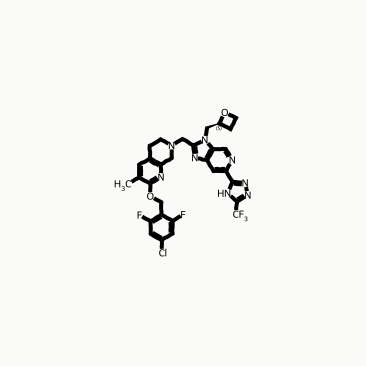 Cc1cc2c(nc1OCc1c(F)cc(Cl)cc1F)CN(Cc1nc3cc(-c4nnc(C(F)(F)F)[nH]4)ncc3n1C[C@@H]1CCO1)CC2